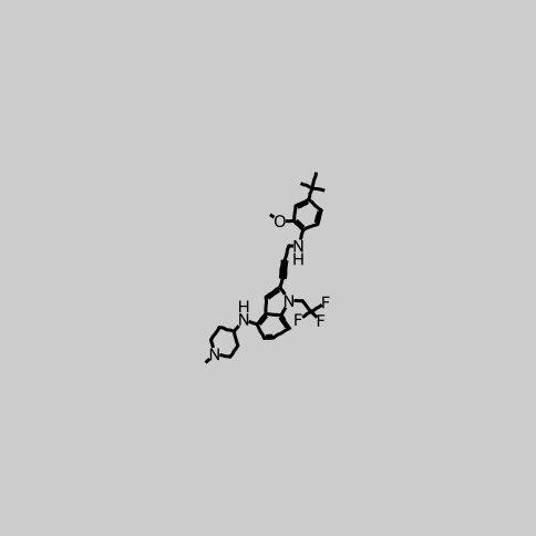 COc1cc(C(C)(C)C)ccc1NCC#Cc1cc2c(NC3CCN(C)CC3)cccc2n1CC(F)(F)F